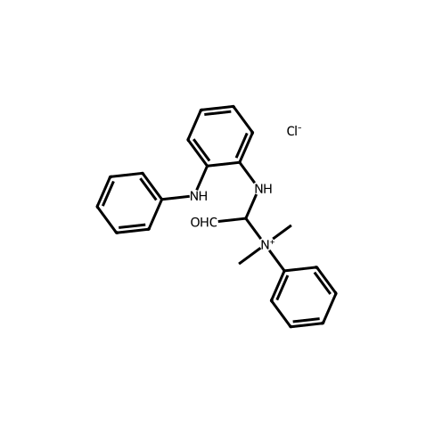 C[N+](C)(c1ccccc1)C(C=O)Nc1ccccc1Nc1ccccc1.[Cl-]